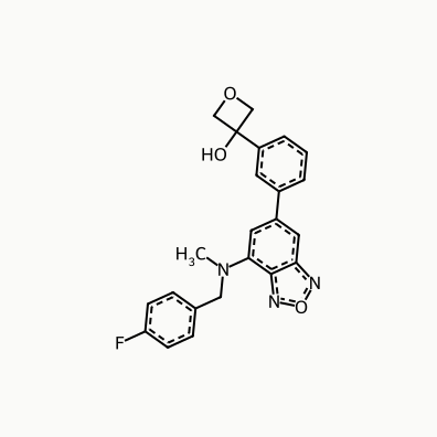 CN(Cc1ccc(F)cc1)c1cc(-c2cccc(C3(O)COC3)c2)cc2nonc12